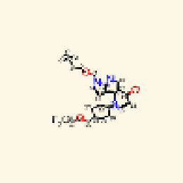 C[Si](C)(C)CCOCn1ccc2c1ncc1c(=O)ccn(C3CCC(COCC(F)(F)F)CC3)c12